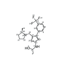 CC(O)Nc1nc(-c2cccc(C(F)(F)F)c2)c(CN2CCC[C@H]2C)s1